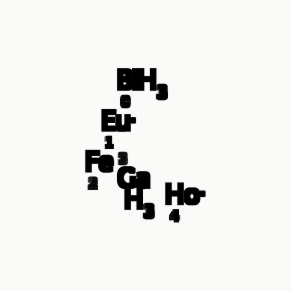 [BiH3].[Eu].[Fe].[GaH3].[Ho]